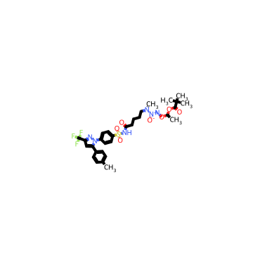 Cc1ccc(-c2cc(C(F)(F)F)nn2-c2ccc(S(=O)(=O)NC(=O)CCCCN(C)/[N+]([O-])=N/OC(C)OC(=O)C(C)(C)C)cc2)cc1